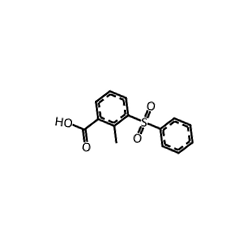 Cc1c(C(=O)O)cccc1S(=O)(=O)c1ccccc1